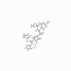 CCCC[C@H](NC(=O)N[C@@H](CC(=O)O)c1ccc(Cl)cc1)C(=O)N(Cc1cccs1)Cc1cccs1